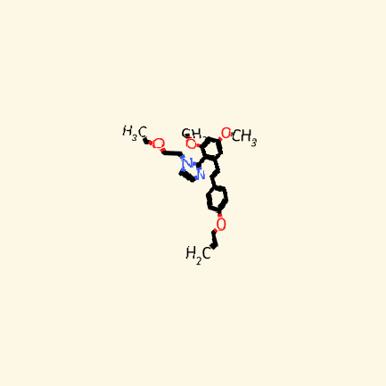 C=CCOc1ccc(C=Cc2cc(OC)cc(OC)c2-c2nccn2CCOCC)cc1